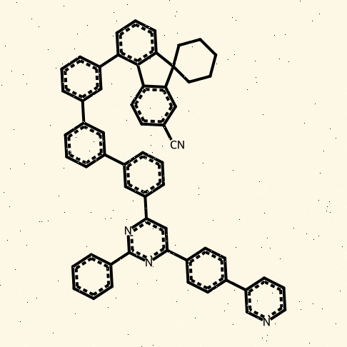 N#Cc1ccc2c(c1)C1(CCCCC1)c1cccc(-c3cccc(-c4cccc(-c5cccc(-c6cc(-c7ccc(-c8cccnc8)cc7)nc(-c7ccccc7)n6)c5)c4)c3)c1-2